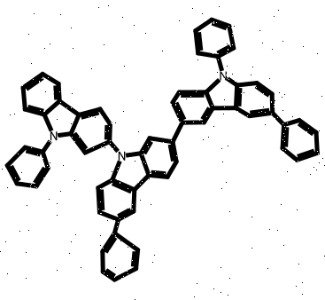 c1ccc(-c2ccc3c(c2)c2cc(-c4ccc5c6cc(-c7ccccc7)ccc6n(-c6ccc7c8ccccc8n(-c8ccccc8)c7c6)c5c4)ccc2n3-c2ccccc2)cc1